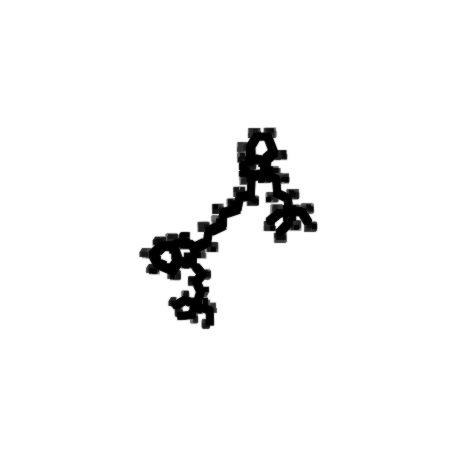 CC[N+](CC)(CC)CCCN1/C(=C/C=C/C=C/C=C/c2sc3c([n+]2CCC[N+](CC)(CC)CC)=CCCC=3)Sc2ccccc21